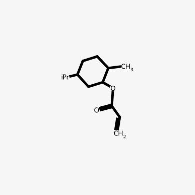 C=CC(=O)OC1CC(C(C)C)CCC1C